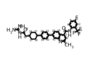 Cc1cc(C(=O)Nc2ccc(F)cc2C(F)(F)F)c2ccc(-c3ccc(C4CCC(CC(=O)NC(=N)N)CC4)cc3)cc2n1